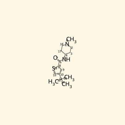 CN1CCC(NC(=O)c2cc(C(C)(C)C)cs2)CC1